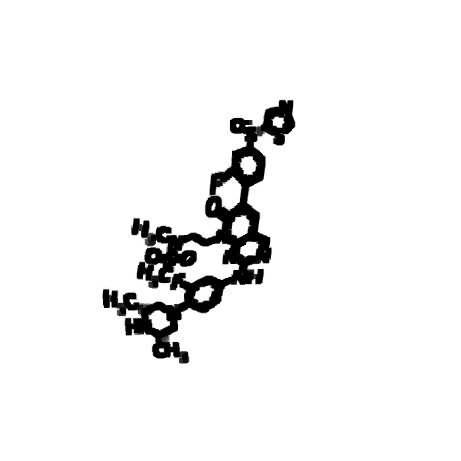 C[C@@H]1CN(c2ccc(Nc3ncc4cc(-c5ccc([S+]([O-])c6cncs6)cc5F)c(=O)n(CCN(C)S(C)(=O)=O)c4n3)cc2F)C[C@H](C)N1